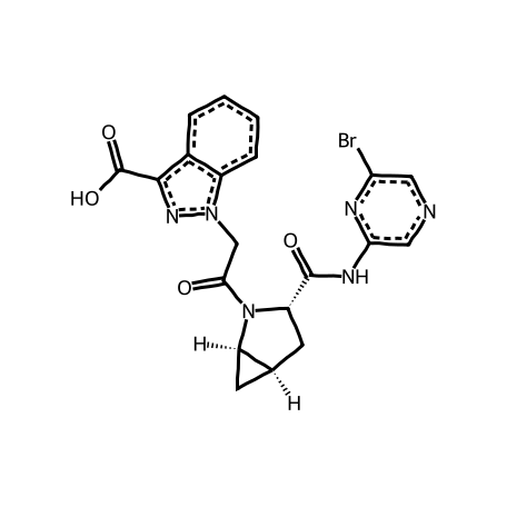 O=C(O)c1nn(CC(=O)N2[C@@H]3C[C@@H]3C[C@H]2C(=O)Nc2cncc(Br)n2)c2ccccc12